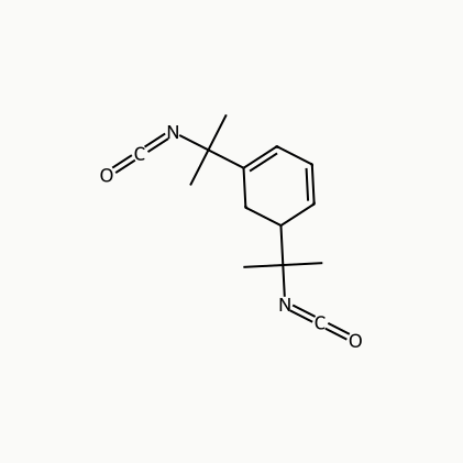 CC(C)(N=C=O)C1=CC=CC(C(C)(C)N=C=O)C1